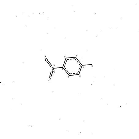 Cc1ccc([SH](=O)=S)cc1